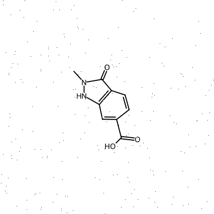 Cn1[nH]c2cc(C(=O)O)ccc2c1=O